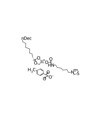 CCCCCCCCCCCCCCCCC[C@H]1OC[C@H](COC(=O)NCCCCCC[n+]2ccsc2)O1.Cc1ccc(S(=O)(=O)[O-])cc1